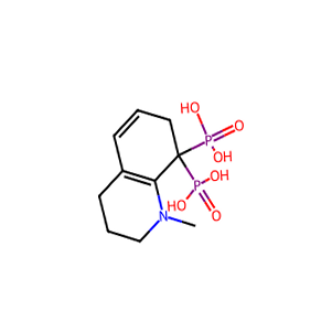 CN1CCCC2=C1C(P(=O)(O)O)(P(=O)(O)O)CC=C2